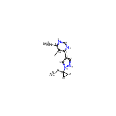 CNc1ncnc(-c2cnn(C3(CC#N)CC3)c2)c1C